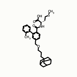 CSCC[C@H](NC(=O)c1ccc(COCCCC23CC4CC(CC(C4)C2)C3)cc1-c1ccccc1C)C(=O)O